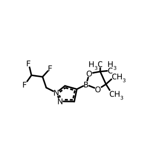 CC1(C)OB(c2cnn(CC(F)C(F)F)c2)OC1(C)C